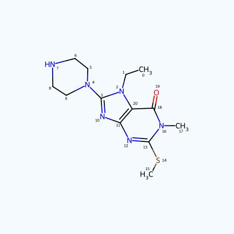 CCn1c(N2CCNCC2)nc2nc(SC)n(C)c(=O)c21